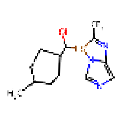 CC1CCC(C(O)[SH]2C(C(F)(F)F)=Nc3cncn32)CC1